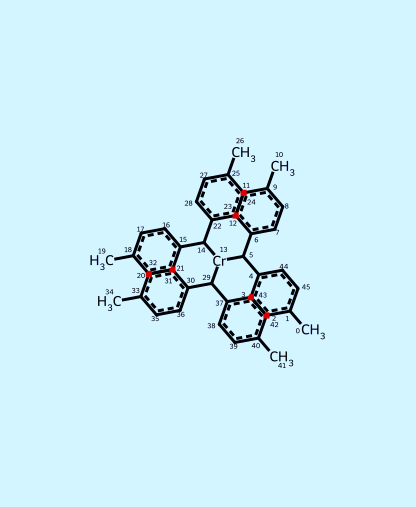 Cc1ccc([CH](c2ccc(C)cc2)[Cr]([CH](c2ccc(C)cc2)c2ccc(C)cc2)[CH](c2ccc(C)cc2)c2ccc(C)cc2)cc1